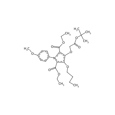 CCCCOc1c(OCC(=O)OC(C)(C)C)c(C(=O)OCC)n(-c2ccc(OC)cc2)c1C(=O)OCC